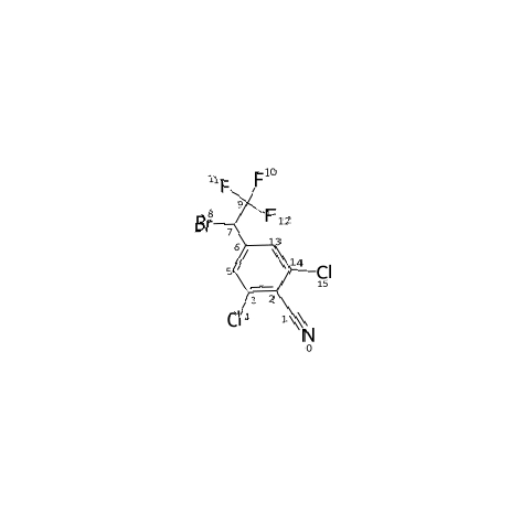 N#Cc1c(Cl)cc(C(Br)C(F)(F)F)cc1Cl